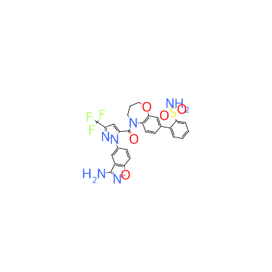 Nc1noc2ccc(-n3nc(C(F)(F)F)cc3C(=O)N3CCCOc4cc(-c5ccccc5S(N)(=O)=O)ccc43)cc12